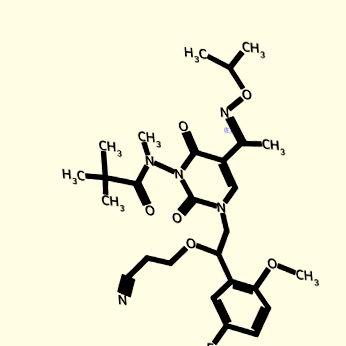 COc1ccc(F)cc1C(Cn1cc(/C(C)=N/OC(C)C)c(=O)n(N(C)C(=O)C(C)(C)C)c1=O)OCCC#N